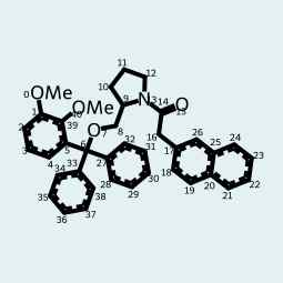 COc1cccc(C(OCC2CCCN2C(=O)Cc2ccc3ccccc3c2)(c2ccccc2)c2ccccc2)c1OC